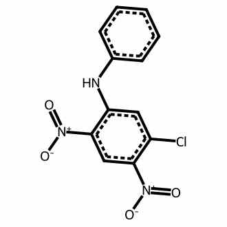 O=[N+]([O-])c1cc([N+](=O)[O-])c(Nc2ccccc2)cc1Cl